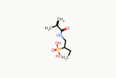 C=C(C)C(=O)NCC(CC)P(=O)(O)O